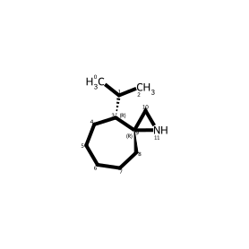 CC(C)[C@H]1CCCCC[C@]12CN2